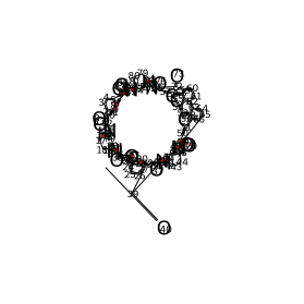 O=C1c2ccc3c4c5ccc(c24)C(=O)N1[C@H]1CCCC[C@@H]1N1C(=O)c2ccc4c6c(ccc(c26)C1=O)C(=O)N(C4=O)[C@H]1CCCC[C@@H]1N1C(=O)c2ccc4c6ccc7c8c(ccc(c9ccc(c2c49)C1=O)c86)C(=O)N(C7=O)[C@H]1CCCC[C@@H]1N(C3=O)C5=O